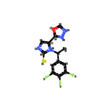 CCC(c1cc(F)c(F)c(F)c1)n1c(-c2nnco2)cnc1S